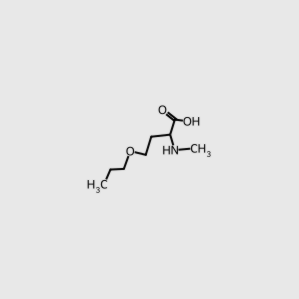 CCCOCCC(NC)C(=O)O